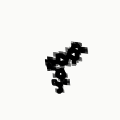 CCC(=O)N[C@H]1CC[C@@H](n2cnnc2-c2ccc(-c3cc4cn[nH]c4cc3C)cc2)C1